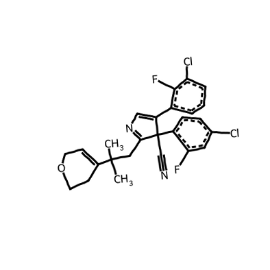 CC(C)(CC1=NC=C(c2cccc(Cl)c2F)C1(C#N)c1ccc(Cl)cc1F)C1=CCOCC1